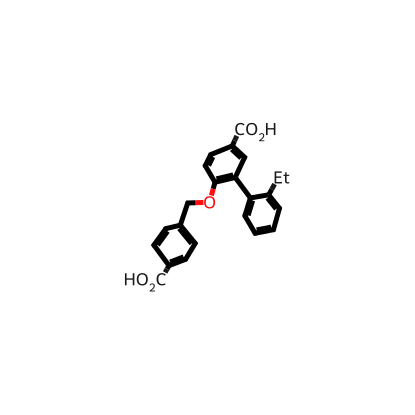 CCc1ccccc1-c1cc(C(=O)O)ccc1OCc1ccc(C(=O)O)cc1